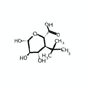 CC(C)(C)[C@H]1[C@H](O)[C@@H](O)[C@H](O)O[C@@H]1C(=O)O